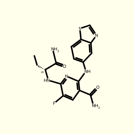 CC[C@@H](Nc1nc(Nc2ccc3scnc3c2)c(C(N)=O)cc1F)C(N)=O